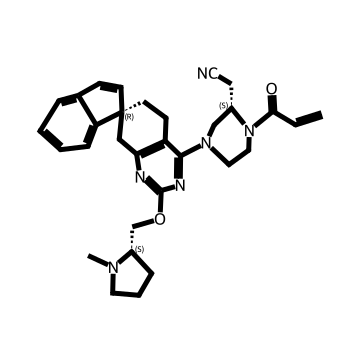 C=CC(=O)N1CCN(c2nc(OC[C@@H]3CCCN3C)nc3c2CC[C@]2(C=Cc4ccccc42)C3)C[C@@H]1CC#N